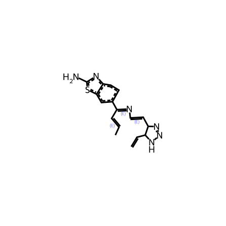 C=CC1NN=NC1/C=C/N=C(\C=C\C)c1ccc2nc(N)sc2c1